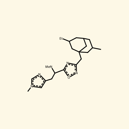 CCC1CC2CC(C)CC(Cc3noc(C(Cc4cn(C)cn4)NC)n3)(C1)C2